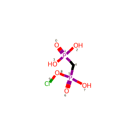 O=P(O)(O)CP(=O)(O)OCl